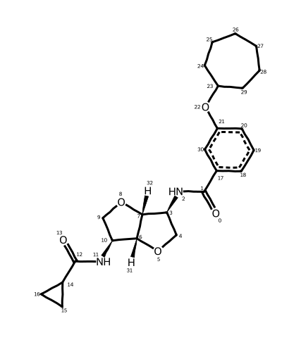 O=C(N[C@H]1CO[C@H]2[C@@H]1OC[C@@H]2NC(=O)C1CC1)c1cccc(OC2CCCCCC2)c1